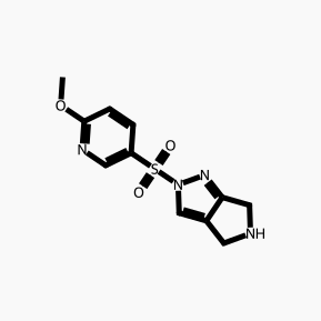 COc1ccc(S(=O)(=O)n2cc3c(n2)CNC3)cn1